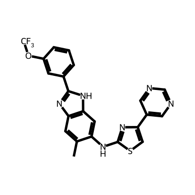 Cc1cc2nc(-c3cccc(OC(F)(F)F)c3)[nH]c2cc1Nc1nc(-c2cncnc2)cs1